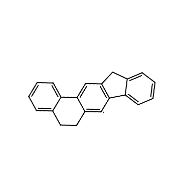 [c]1c2c(cc3c1-c1ccccc1C3)-c1ccccc1CC2